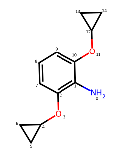 Nc1c(OC2CC2)cccc1OC1CC1